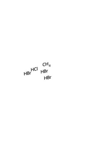 Br.Br.Br.C.Cl